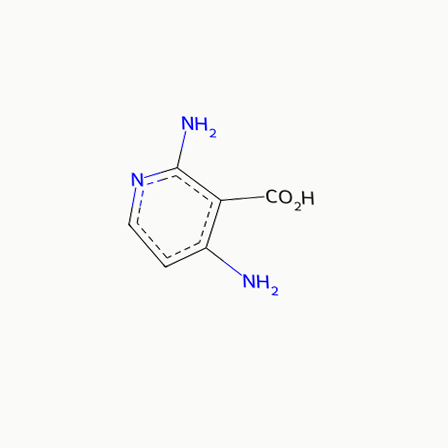 Nc1ccnc(N)c1C(=O)O